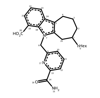 CCCCCCC1CCCc2c(n(Cc3cccc(C(N)=O)n3)c3c(C(=O)O)cccc23)C1